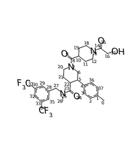 Cc1ccc(C2CN(C(=O)C3CCN(C(=O)CO)CC3)CCC2C(=O)N(C)Cc2cc(C(F)(F)F)cc(C(F)(F)F)c2)cc1